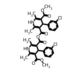 COC(=O)C1=C(C)NC(C)=C(C(=O)OC(=O)C2=C(C)NC(C)=C(C(=O)OC)C2c2cccc(Cl)c2)C1c1cccc(Cl)c1